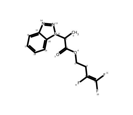 CC(C(=O)OCCC(F)=C(F)F)n1nnc2ccccc21